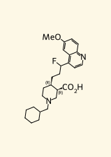 COc1ccc2nccc(C(F)CC[C@@H]3CCN(CC4CCCCC4)C[C@@H]3C(=O)O)c2c1